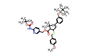 COc1ccc(CSC(CCc2cccc(O[Si](C)(C)C(C)(C)C)c2)C(C(=O)OCc2ccc(NC(=O)OC(C)(C)C)nc2)C(C)(C)C)cc1